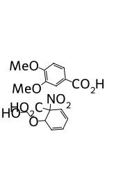 COc1ccc(C(=O)O)cc1OC.O=C(O)C1([N+](=O)[O-])C=CC=CC1OCO